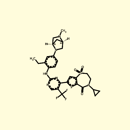 CCc1cc(N2C[C@H]3C[C@@H]2CN3C)ccc1Nc1ncc(C(F)(F)F)c(-c2cc3c(s2)C(=O)N(C2CC2)CCS3(=O)=O)n1